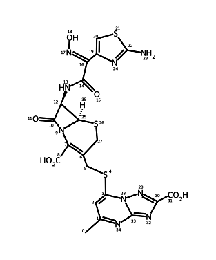 Cc1cc(SCC2=C(C(=O)O)N3C(=O)[C@@H](NC(=O)C(=NO)c4csc(N)n4)[C@H]3SC2)n2nc(C(=O)O)nc2n1